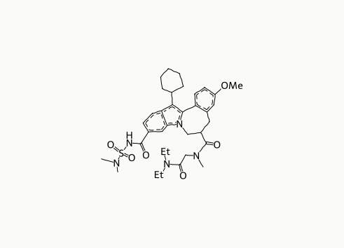 CCN(CC)C(=O)CN(C)C(=O)C1Cc2cc(OC)ccc2-c2c(C3CCCCC3)c3ccc(C(=O)NS(=O)(=O)N(C)C)cc3n2C1